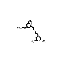 CCOCCN1CC(C)OC(CCOCCN2C[C@@H](C)O[C@@H](C)C2)C1